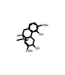 COC1=C[C@H]2[C@H]3Cc4ccc(OC)c(O)c4[C@@]2(CCN3C)CC1O